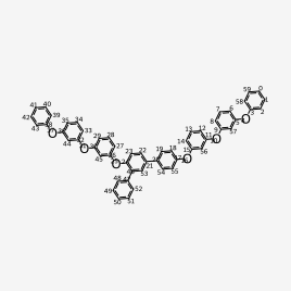 c1ccc(Oc2cccc(Oc3cccc(Oc4ccc(-c5ccc(Oc6cccc(Oc7cccc(Oc8ccccc8)c7)c6)c(-c6ccccc6)c5)cc4)c3)c2)cc1